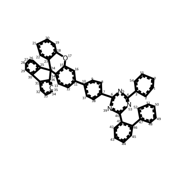 c1ccc(-c2nc(-c3ccc(-c4ccc5c(c4)Oc4ccccc4C54c5ccccc5-c5ccccc54)cc3)nc(-c3ccccc3-c3ccccc3)n2)cc1